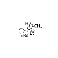 C=C(C)C(=O)OC(C(CC)CCCC)C1CCCCC1